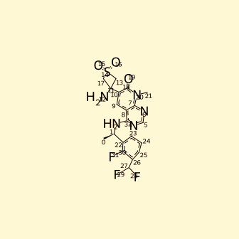 C[C@@H](Nc1ncnc2c1cc(C1(N)CS(=O)(=O)C1)c(=O)n2C)c1cccc(C(F)F)c1F